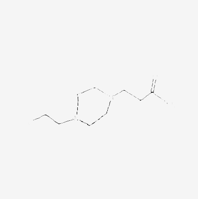 CCCN1CCN(CCC(N)=O)CC1